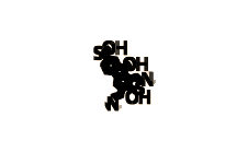 CN(C)CCc1cc2c(c(CCN(C)C)c1C(O)=S)C(O)c1cc(C(O)=S)ccc1-2